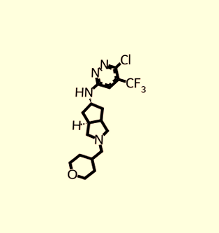 FC(F)(F)c1cc(N[C@@H]2CC3CN(CC4CCOCC4)C[C@H]3C2)nnc1Cl